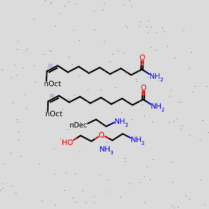 CCCCCCCC/C=C\CCCCCCCC(N)=O.CCCCCCCC/C=C\CCCCCCCC(N)=O.CCCCCCCCCCCCN.N.NCCOCCO